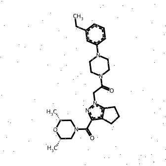 CCc1cccc(N2CCN(C(=O)Cn3nc(C(=O)N4C[C@@H](C)O[C@@H](C)C4)c4c3CCC4)CC2)c1